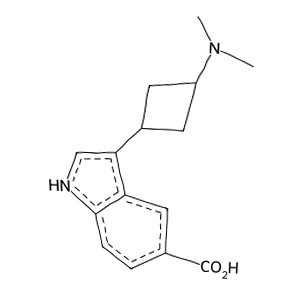 CN(C)C1CC(c2c[nH]c3ccc(C(=O)O)cc23)C1